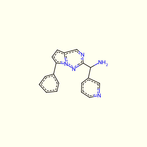 NC(c1cccnc1)c1ncc2ccc(-c3ccccc3)n2n1